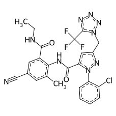 CCNC(=O)c1cc(C#N)cc(C)c1NC(=O)c1cc(Cn2nnnc2C(F)(F)F)nn1-c1ccccc1Cl